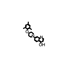 Cc1cc(C)c(OC2CCN(c3ccc4c(O)ccnc4c3)CC2)c(C)c1